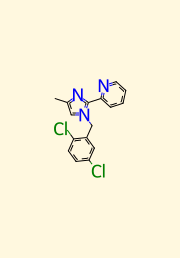 Cc1cn(Cc2cc(Cl)ccc2Cl)c(-c2ccccn2)n1